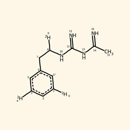 [2H]c1cc([2H])cc(CC([2H])NC(=N)NC(C)=N)c1